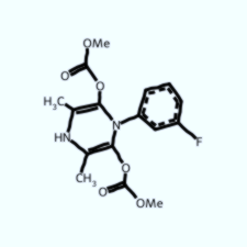 COC(=O)OC1=C(C)NC(C)=C(OC(=O)OC)N1c1cccc(F)c1